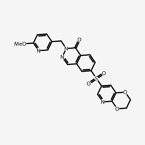 COc1ccc(Cn2ncc3cc(S(=O)(=O)c4cnc5c(c4)OCCO5)ccc3c2=O)cn1